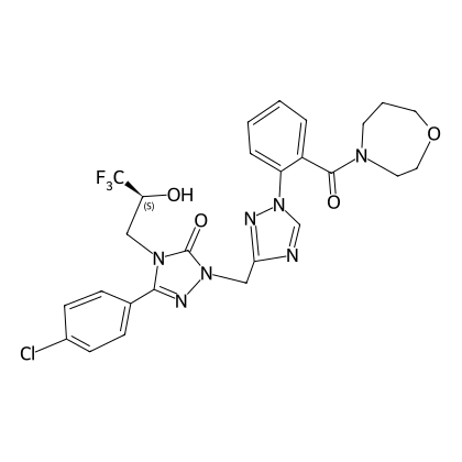 O=C(c1ccccc1-n1cnc(Cn2nc(-c3ccc(Cl)cc3)n(C[C@H](O)C(F)(F)F)c2=O)n1)N1CCCOCC1